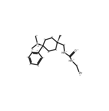 CC(C)CNC(=O)NC[C@]1(C)CC[C@@](c2ccccc2)(N(C)C)CC1